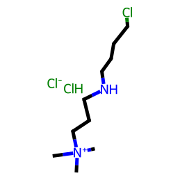 C[N+](C)(C)CCCNCCCCCl.Cl.[Cl-]